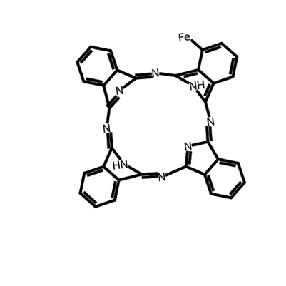 [Fe][c]1cccc2c3nc4nc(nc5[nH]c(nc6nc(nc([nH]3)c12)-c1ccccc1-6)c1ccccc51)-c1ccccc1-4